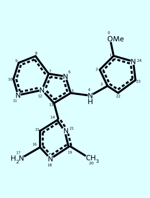 COc1cc(Nc2nc3cccnn3c2-c2cc(N)nc(C)n2)ccn1